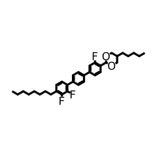 CCCCCCCCc1ccc(-c2ccc(-c3ccc(C4OCC(CCCCC)CO4)c(F)c3)cc2)c(F)c1F